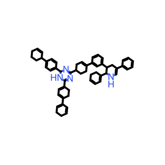 C1=CCCC(C2NC=C(c3ccccc3)CC2c2cccc(C3=CCC(C4=NC(c5ccc(C6C=CCCC6)cc5)NC(C5=CC=C(C6=CCCC=C6)CC5)=N4)CC3)c2)=C1